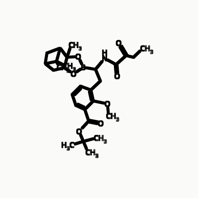 CCC(=O)C(=O)NC(Cc1cccc(C(=O)OC(C)(C)C)c1OC)B1OC2CC3CC(C3(C)C)C2(C)O1